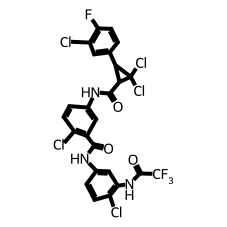 O=C(Nc1ccc(Cl)c(NC(=O)C(F)(F)F)c1)c1cc(NC(=O)C2C(c3ccc(F)c(Cl)c3)C2(Cl)Cl)ccc1Cl